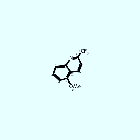 COc1cccc2nc(C(F)(F)F)ccc12